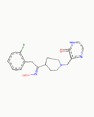 O=c1[nH]ccnc1CN1CCC(/C(Cc2ccccc2F)=N/O)CC1